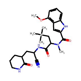 COc1cccc2[nH]c(C(=O)N(C)C(C[Si](C)(C)C)C(=O)NC(C#N)CC3CCCNC3=O)cc12